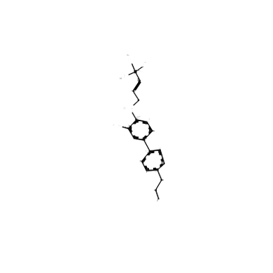 CCCc1ccc(-c2ccc(OCC=CC(F)(F)F)c(F)c2)cc1